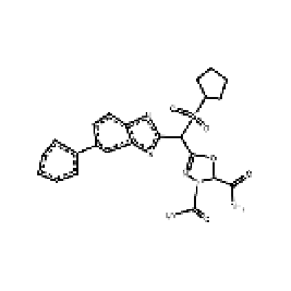 NC(=O)C1OC(C(c2nc3ccc(-c4ccccc4)cc3s2)S(=O)(=O)C2CCCC2)=NN1C(N)=O